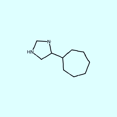 C1CCCC(C2CNC[N]2)CC1